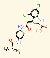 CC(C)C(=O)Nc1ccc(NC(=O)C=C2CC(C(=O)O)Nc3cc(Cl)cc(Cl)c32)cc1